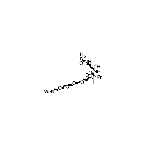 CNCCOCCOCCOCCOCCC(=O)N[C@H](C(=O)NC(C)CCCNC(N)=O)C(C)C